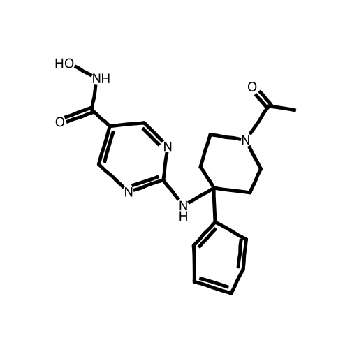 CC(=O)N1CCC(Nc2ncc(C(=O)NO)cn2)(c2ccccc2)CC1